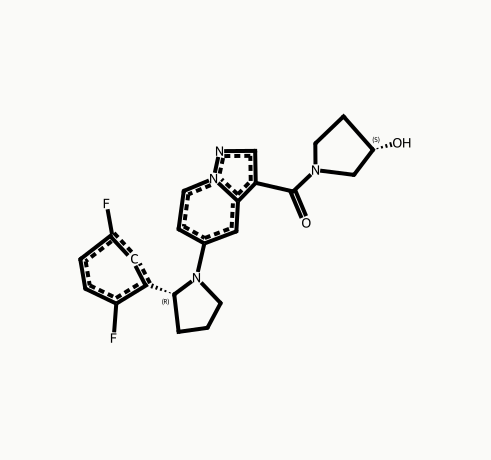 O=C(c1cnn2ccc(N3CCC[C@@H]3c3cc(F)ccc3F)cc12)N1CC[C@H](O)C1